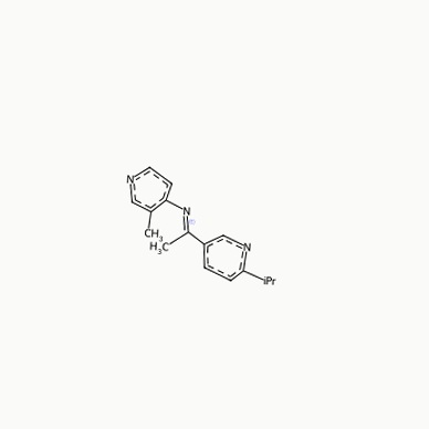 C/C(=N\c1ccncc1C)c1ccc(C(C)C)nc1